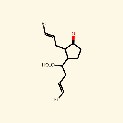 CCC=CCC(C(=O)O)C1CCC(=O)C1CC=CCC